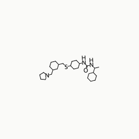 CC(NC(=O)NC1CCC(SCC2CCCC(CN3CCCC3)C2)CC1)C1CCCCC1